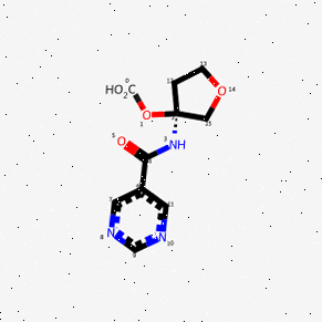 O=C(O)O[C@@]1(NC(=O)c2cncnc2)CCOC1